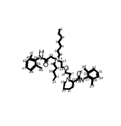 CCCCCCC[N+](CCCCC)(CCOCCN1CCCCC1C(=O)Nc1c(C)cccc1C)CC(=O)Nc1c(C)cccc1C